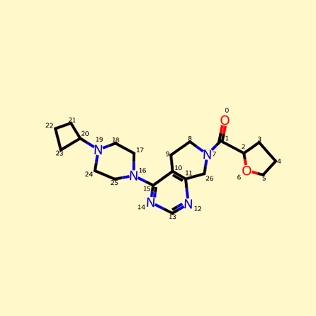 O=C(C1CCCO1)N1CCc2c(ncnc2N2CCN(C3CCC3)CC2)C1